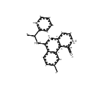 Cc1ccc2c(NC(C)c3ccccn3)nc3cc[nH]c(=O)c3c2c1